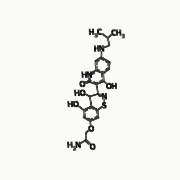 CC(C)CNc1ccc2c(O)c(C3=NSc4cc(OCC(N)=O)cc(O)c4C3O)c(=O)[nH]c2c1